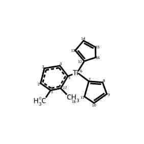 Cc1ccc[c]([Ti]([C]2=CC=CC2)[C]2=CC=CC2)c1C